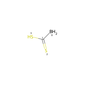 BC(=S)S